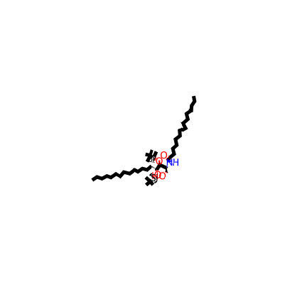 CCCCCCCCCCCCCCC(=O)N[C@@H](CO)[C@H](O[Si](C)(C)C(C)(C)C)[C@@H](CCCCCCCCCCCCCC)O[Si](C)(C)C(C)(C)C